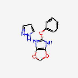 c1ccc(Oc2nc3c([nH]2)OCO3)cc1.c1cn[nH]c1